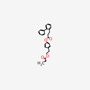 C=CC(=O)OCCc1ccc(OC(=O)CCc2ccccc2-c2ccccc2)cc1